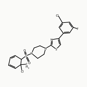 CC1(Cl)C=CC=CC1S(=O)(=O)N1CCN(c2nc(-c3cc(F)cc(Cl)c3)cs2)CC1